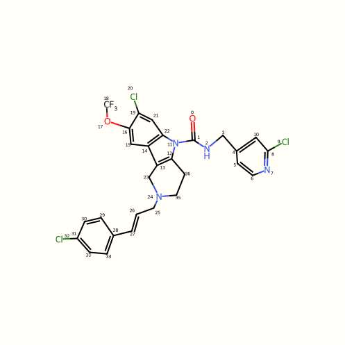 O=C(NCc1ccnc(Cl)c1)n1c2c(c3cc(OC(F)(F)F)c(Cl)cc31)CN(CC=Cc1ccc(Cl)cc1)CC2